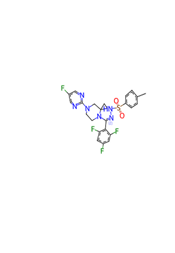 Cc1ccc(S(=O)(=O)N/N=C(/c2c(F)cc(F)cc2F)N2CCN(c3ncc(F)cn3)CC23CC3)cc1